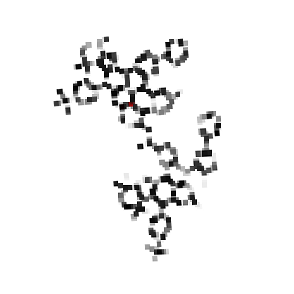 Cc1ccc(-c2ccccc2CC(C)c2ccc3c(c2)B2c4oc5c(c4N(c4ccc(C(C)(C)C)cc4)c4cc(C)cc(c42)N3c2cc(-c3ccccc3)ccc2C)C(C)(C)CCC5(C)C)c(N2c3cc(-c4ccccc4)ccc3B3c4oc5c(c4N(c4ccc(C(C)(C)C)cc4)c4cc(C)cc2c43)C(C)(C)CCC5(C)C)c1